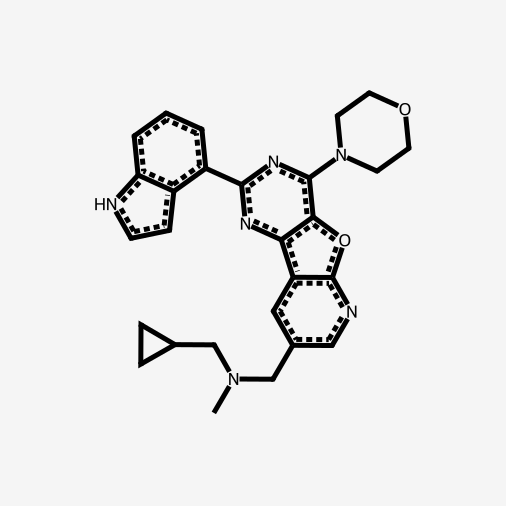 CN(Cc1cnc2oc3c(N4CCOCC4)nc(-c4cccc5[nH]ccc45)nc3c2c1)CC1CC1